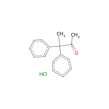 CC(=O)C(C)(c1ccccc1)c1ccccc1.Cl